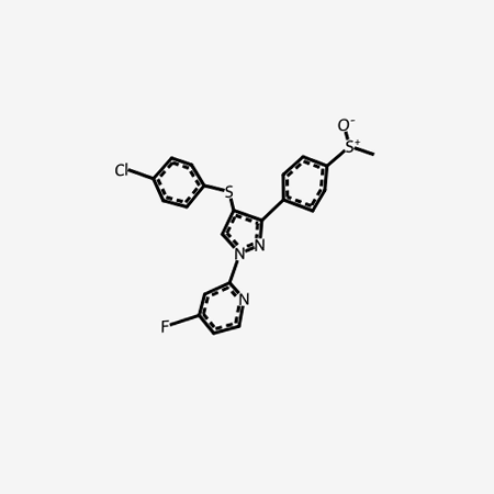 C[S+]([O-])c1ccc(-c2nn(-c3cc(F)ccn3)cc2Sc2ccc(Cl)cc2)cc1